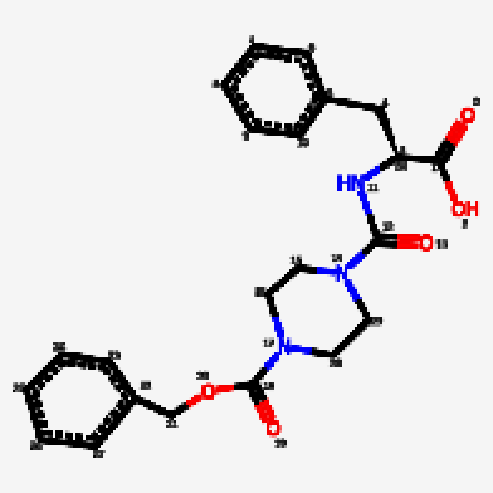 O=C(O)[C@H](Cc1ccccc1)NC(=O)N1CCN(C(=O)OCc2ccccc2)CC1